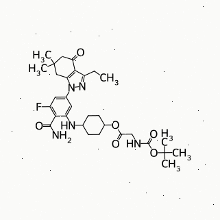 CCc1nn(-c2cc(F)c(C(N)=O)c(NC3CCC(OC(=O)CNC(=O)OC(C)(C)C)CC3)c2)c2c1C(=O)CC(C)(C)C2